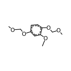 COCOc1ccc(OCOC)c(OC)c1